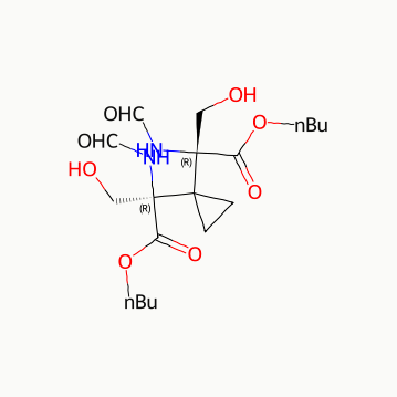 CCCCOC(=O)[C@@](CO)(NC=O)C1([C@](CO)(NC=O)C(=O)OCCCC)CC1